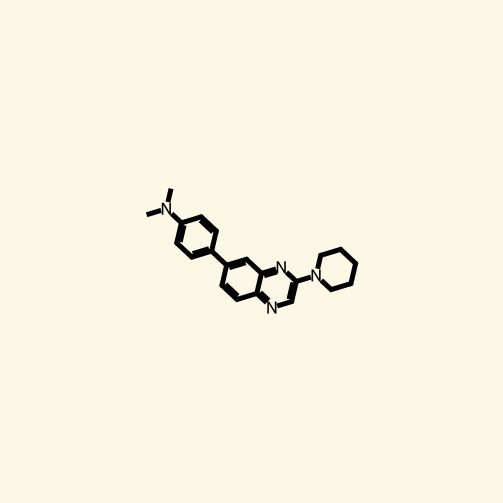 CN(C)c1ccc(-c2ccc3ncc(N4CCCCC4)nc3c2)cc1